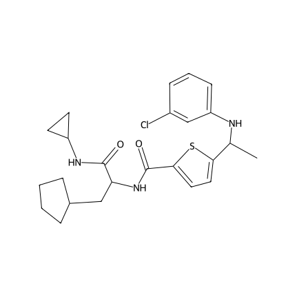 CC(Nc1cccc(Cl)c1)c1ccc(C(=O)NC(CC2CCCC2)C(=O)NC2CC2)s1